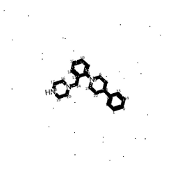 c1ccc(C2CCN(c3ccccc3CN3CCNCC3)CC2)cc1